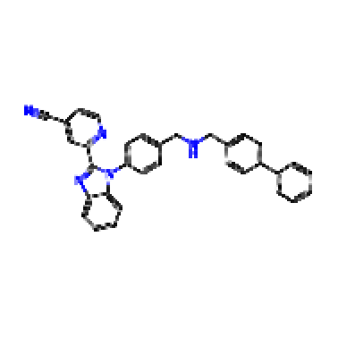 N#Cc1ccnc(-c2nc3ccccc3n2-c2ccc(CNCc3ccc(-c4ccccc4)cc3)cc2)c1